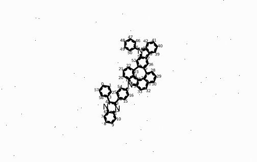 c1ccc(-c2nc3ccccc3nc2-c2ccc(-n3c4cccc5c4c4c6c(cccc6ccc43)-c3cc4c6ccccc6n(-c6ccccc6)c4cc3-5)cc2)cc1